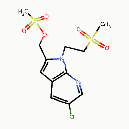 CS(=O)(=O)CCn1c(COS(C)(=O)=O)cc2cc(Cl)cnc21